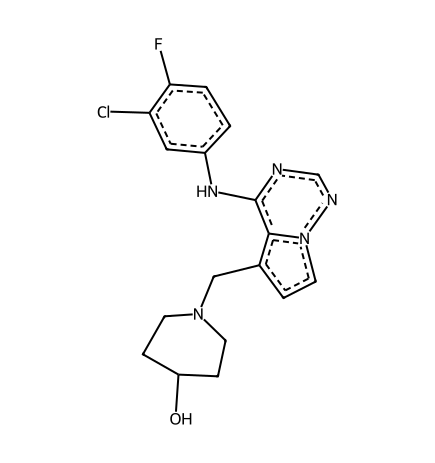 OC1CCN(Cc2ccn3ncnc(Nc4ccc(F)c(Cl)c4)c23)CC1